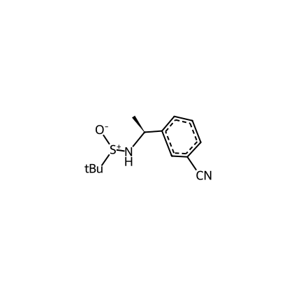 C[C@H](N[S+]([O-])C(C)(C)C)c1cccc(C#N)c1